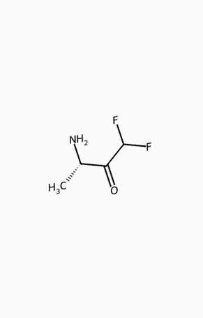 C[C@H](N)C(=O)C(F)F